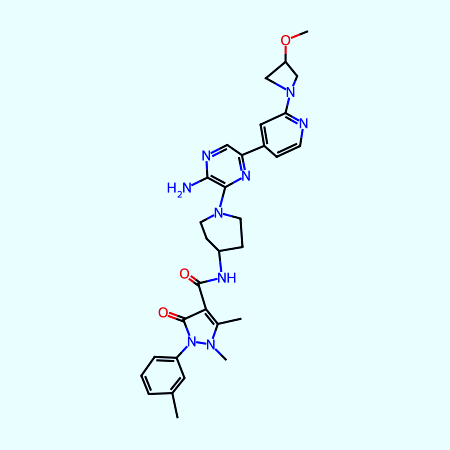 COC1CN(c2cc(-c3cnc(N)c(N4CCC(NC(=O)c5c(C)n(C)n(-c6cccc(C)c6)c5=O)CC4)n3)ccn2)C1